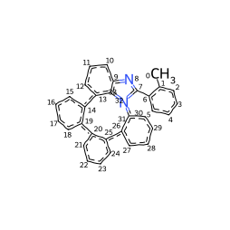 Cc1ccccc1-c1nc2cccc3c4ccccc4c4ccccc4c4ccccc4n1c23